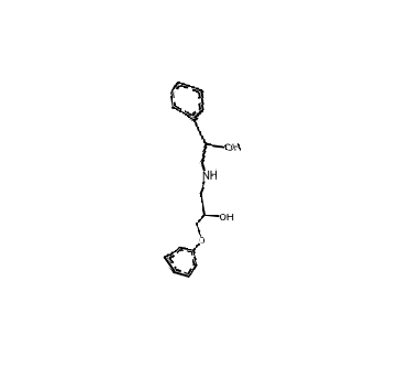 OC(CNCC(O)c1ccccc1)COc1ccccc1